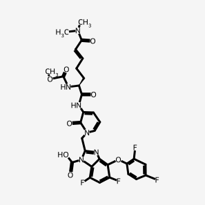 COC(=O)N[C@@H](CC/C=C/C(=O)N(C)C)C(=O)Nc1cccn(Cc2nc3c(Oc4ccc(F)cc4F)c(F)cc(F)c3n2C(=O)O)c1=O